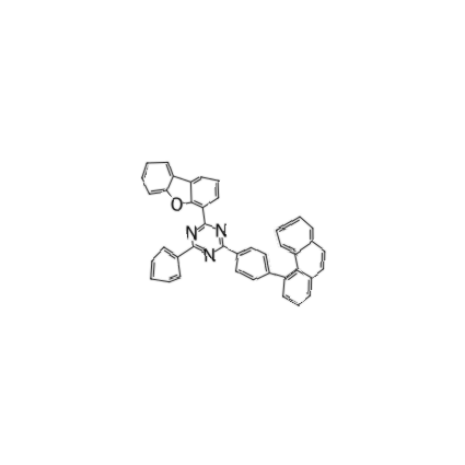 c1ccc(-c2nc(-c3ccc(-c4cccc5ccc6ccccc6c45)cc3)nc(-c3cccc4c3oc3ccccc34)n2)cc1